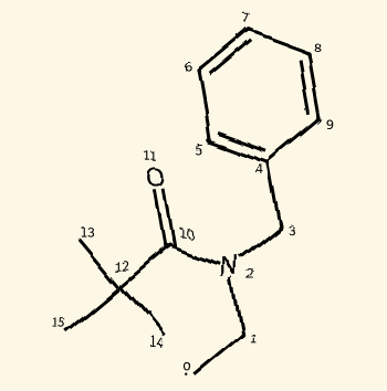 [CH2]CN(Cc1ccccc1)C(=O)C(C)(C)C